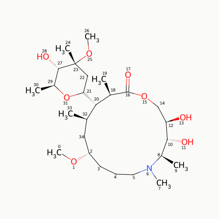 CO[C@H]1CCCN(C)[C@H](C)[C@@H](O)[C@H](O)COC(=O)[C@H](C)[C@@H](C2C[C@@](C)(OC)[C@@H](O)[C@H](C)O2)[C@H](C)C1